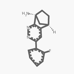 N[C@]12CC[C@H](C1)c1cc(-c3ccccc3F)nnc12